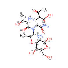 CC(=O)C(C[C@H](C(N)=O)N(CC(C)O[C@@H]1[C@@H](N)[C@@H](O)O[C@H](CO)[C@H]1O)C(=O)[C@@H](N)[C@@H](C)O)C(=O)O